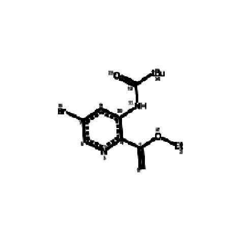 C=C(OCC)c1ncc(Br)cc1NC(=O)C(C)(C)C